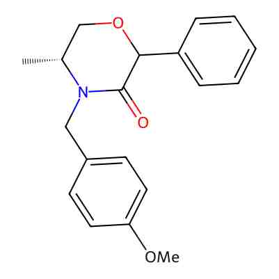 COc1ccc(CN2C(=O)C(c3ccccc3)OC[C@H]2C)cc1